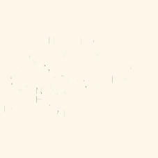 CCc1cccc2c1Nc1c(OC)cc(OC)cc1N(C/C=C(\C)CC/C=C(\C)CCC=C(C)C)C2=O